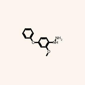 COc1cc(Oc2ccccc2)ccc1NN